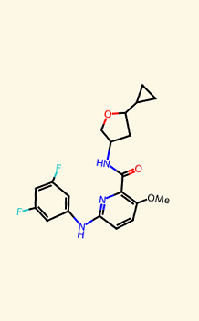 COc1ccc(Nc2cc(F)cc(F)c2)nc1C(=O)NC1COC(C2CC2)C1